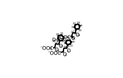 O=C([O-])C(=O)CC(=O)c1ccccc1.O=C([O-])C(=O)CC(=O)c1ccccc1.O=C([O-])C(=O)CC(=O)c1ccccc1.[Dy+3]